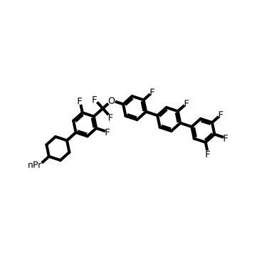 CCCC1CCC(c2cc(F)c(C(F)(F)Oc3ccc(-c4ccc(-c5cc(F)c(F)c(F)c5)c(F)c4)c(F)c3)c(F)c2)CC1